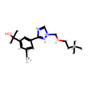 CC(C)(O)c1cc(-c2ncn(COCC[Si](C)(C)C)n2)cc(C(F)(F)F)c1